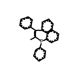 CC(=C(c1ccccc1)c1ccccc1)P(c1ccccc1)c1ccccc1